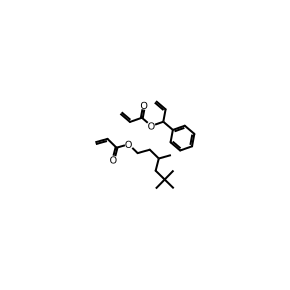 C=CC(=O)OC(C=C)c1ccccc1.C=CC(=O)OCCC(C)CC(C)(C)C